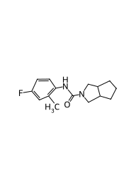 Cc1cc(F)ccc1NC(=O)N1CC2CCCC2C1